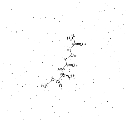 COC(=O)[C@H](C)NC(=O)COCC(C)=O